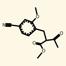 COC(=O)C(Cc1ccc(C#N)cc1OC)C(C)=O